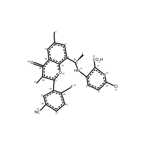 Cc1cc([C@@H](C)Nc2ccc(Cl)nc2C(=O)O)c2oc(-c3cc(C#N)ccc3F)c(C)c(=O)c2c1